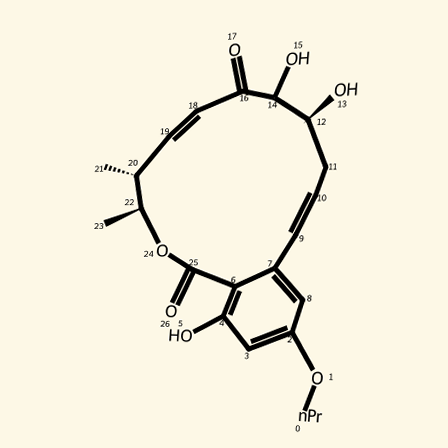 CCCOc1cc(O)c2c(c1)/C=C/C[C@H](O)C(O)C(=O)/C=C\[C@@H](C)[C@H](C)OC2=O